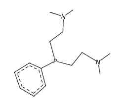 CN(C)CCP(CCN(C)C)c1ccccc1